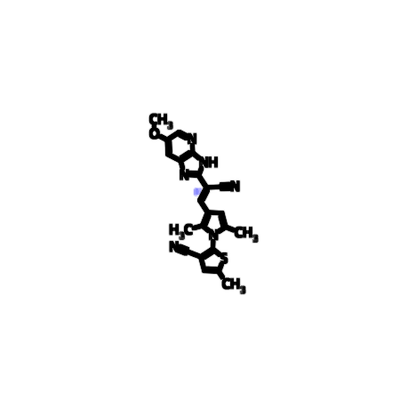 COc1cnc2[nH]c(/C(C#N)=C/c3cc(C)n(-c4sc(C)cc4C#N)c3C)nc2c1